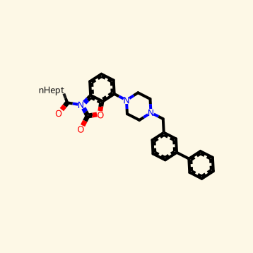 CCCCCCCC(=O)n1c(=O)oc2c(N3CCN(Cc4cccc(-c5ccccc5)c4)CC3)cccc21